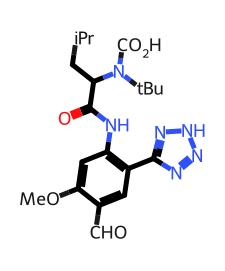 COc1cc(NC(=O)C(CC(C)C)N(C(=O)O)C(C)(C)C)c(-c2nn[nH]n2)cc1C=O